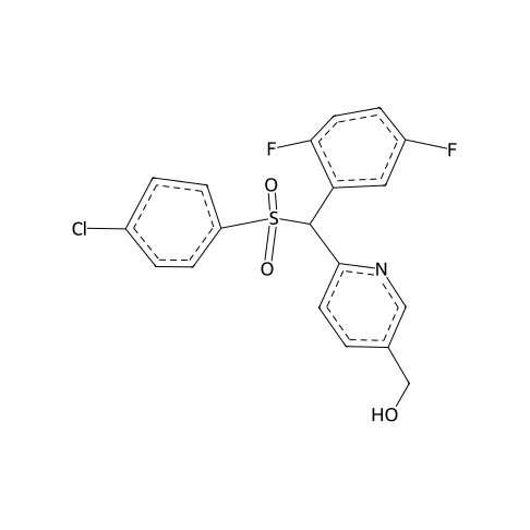 O=S(=O)(c1ccc(Cl)cc1)C(c1ccc(CO)cn1)c1cc(F)ccc1F